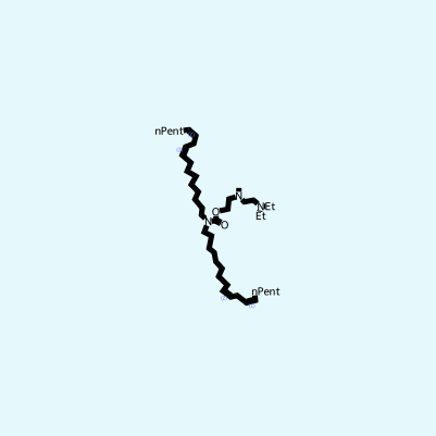 CCCCC/C=C\C/C=C\CCCCCCCCN(CCCCCCCC/C=C\C/C=C\CCCCC)C(=O)OCCN(C)CCN(CC)CC